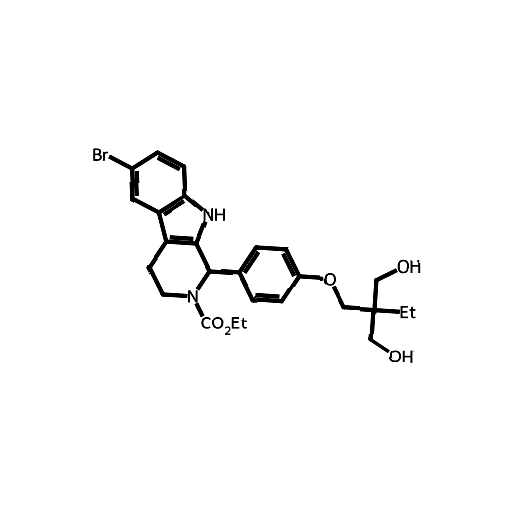 CCOC(=O)N1CCc2c([nH]c3ccc(Br)cc23)C1c1ccc(OCC(CC)(CO)CO)cc1